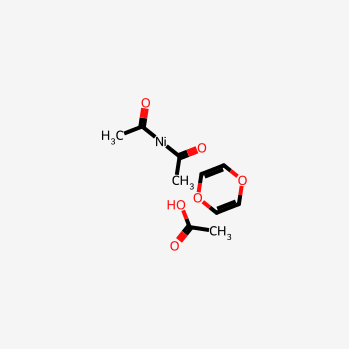 C1=COC=CO1.CC(=O)O.C[C](=O)[Ni][C](C)=O